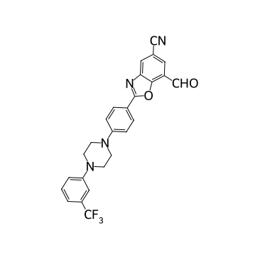 N#Cc1cc(C=O)c2oc(-c3ccc(N4CCN(c5cccc(C(F)(F)F)c5)CC4)cc3)nc2c1